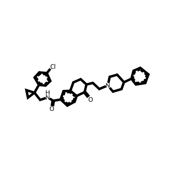 O=C(NCC1(c2ccc(Cl)cc2)CC1)c1ccc2c(c1)CCC(CCN1CCC(c3ccccc3)CC1)C2=O